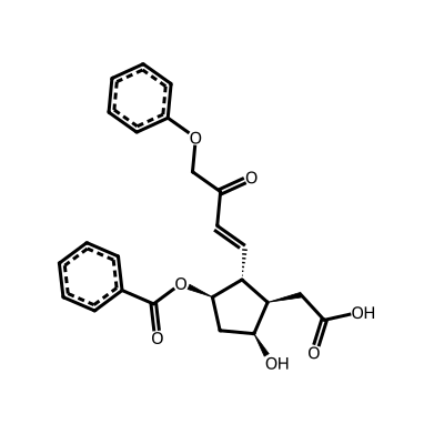 O=C(O)C[C@@H]1[C@@H](C=CC(=O)COc2ccccc2)[C@H](OC(=O)c2ccccc2)C[C@@H]1O